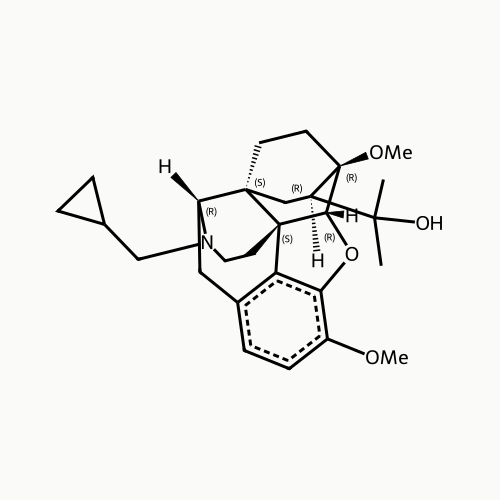 COc1ccc2c3c1O[C@H]1[C@@]4(OC)CC[C@@]5(C[C@@H]4C(C)(C)O)[C@@H](C2)N(CC2CC2)CC[C@]315